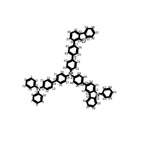 c1ccc(N(c2ccccc2)c2ccc(-c3ccc(N(c4ccc(-c5ccc(-c6cccc7c6oc6ccccc67)cc5)cc4)c4ccc(-c5ccc6c(c5)c5ccccc5n6-c5ccccc5)cc4)cc3)cc2)cc1